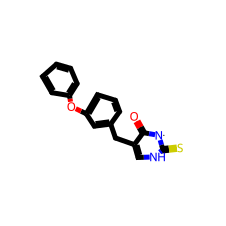 O=C1[N]C(=S)NC=C1Cc1cccc(Oc2ccccc2)c1